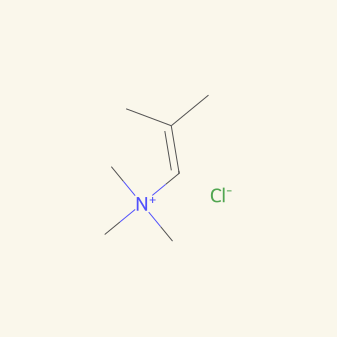 CC(C)=C[N+](C)(C)C.[Cl-]